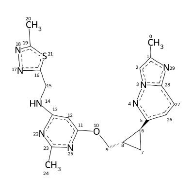 Cc1cn2nc([C@H]3C[C@@H]3COc3cc(NCc4nnc(C)s4)nc(C)n3)ccc2n1